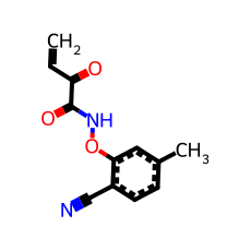 C=CC(=O)C(=O)NOc1cc(C)ccc1C#N